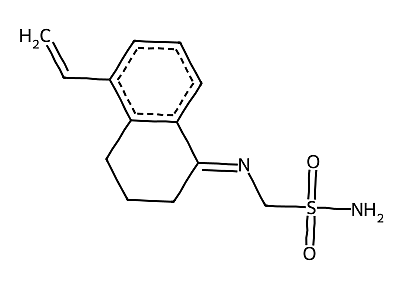 C=Cc1cccc2c1CCC/C2=N\CS(N)(=O)=O